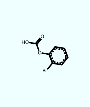 O=C(O)Oc1ccccc1Br